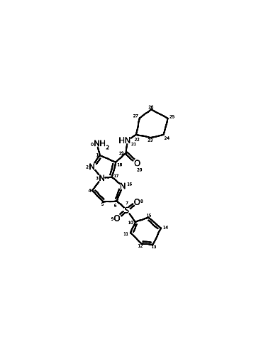 Nc1nn2ccc(S(=O)(=O)c3ccccc3)nc2c1C(=O)NC1CCCCC1